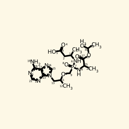 CC(CC(=O)O)NP(=O)(COC(C)Cn1cnc2c(N)ncnc21)NC(C)C(=O)OC(C)C